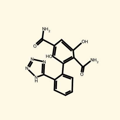 NC(=O)c1cc(O)c(C(N)=O)c(-c2ccccc2-c2nnn[nH]2)c1O